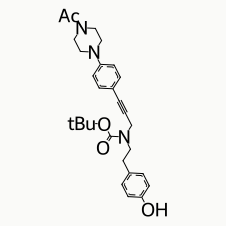 CC(=O)N1CCN(c2ccc(C#CCN(CCc3ccc(O)cc3)C(=O)OC(C)(C)C)cc2)CC1